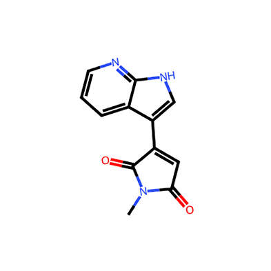 CN1C(=O)C=C(c2c[nH]c3ncccc23)C1=O